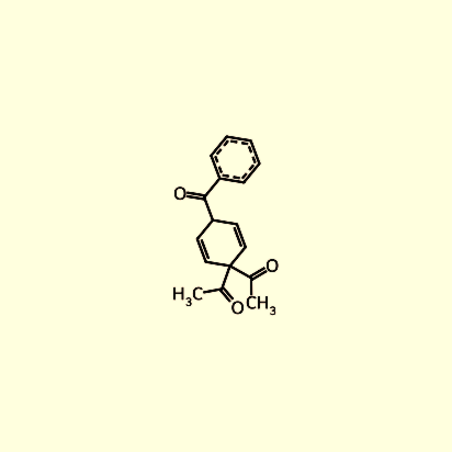 CC(=O)C1(C(C)=O)C=CC(C(=O)c2ccccc2)C=C1